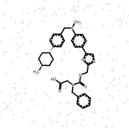 CN(Cc1ccc([C@H]2CC[C@H](C)CC2)cc1)c1ccc(-c2csc(COC(=O)N(CC(=O)O)Cc3ccccc3)n2)cc1